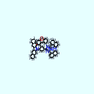 c1ccc2cc3c(cc2c1)c1cc2ccccc2cc1n3-c1ccc(C2=NC(c3cccc4ccccc34)NC(c3cccc4ccccc34)=N2)cc1-c1cccc2oc3ccccc3c12